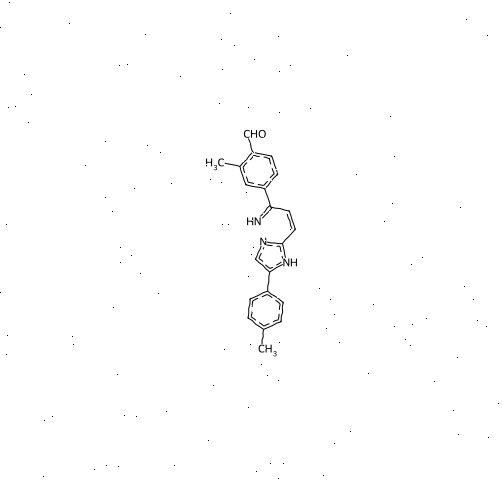 Cc1ccc(-c2cnc(/C=C\C(=N)c3ccc(C=O)c(C)c3)[nH]2)cc1